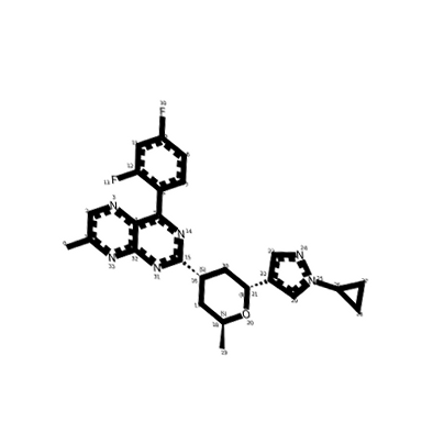 Cc1cnc2c(-c3ccc(F)cc3F)nc([C@H]3C[C@H](C)O[C@@H](c4cnn(C5CC5)c4)C3)nc2n1